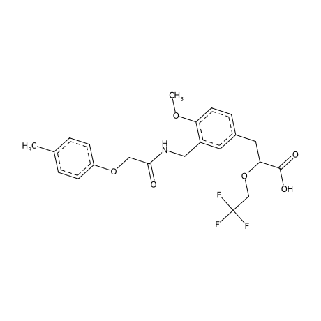 COc1ccc(CC(OCC(F)(F)F)C(=O)O)cc1CNC(=O)COc1ccc(C)cc1